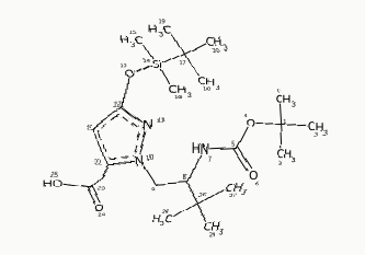 CC(C)(C)OC(=O)NC(Cn1nc(O[Si](C)(C)C(C)(C)C)cc1C(=O)O)C(C)(C)C